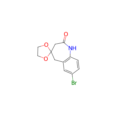 O=C1CC2(Cc3cc(Br)ccc3N1)OCCO2